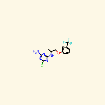 CC(COc1cccc(C(F)(F)F)c1)Nc1nc(N)nc(Cl)n1